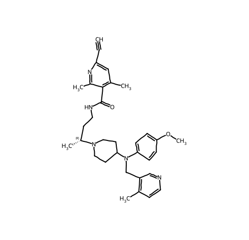 C#Cc1cc(C)c(C(=O)NCC[C@@H](C)N2CCC(N(Cc3cnccc3C)c3ccc(OC)cc3)CC2)c(C)n1